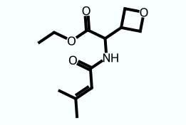 CCOC(=O)C(NC(=O)C=C(C)C)C1COC1